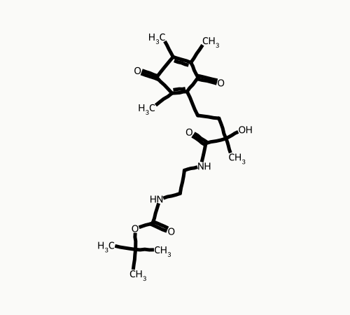 CC1=C(C)C(=O)C(CCC(C)(O)C(=O)NCCNC(=O)OC(C)(C)C)=C(C)C1=O